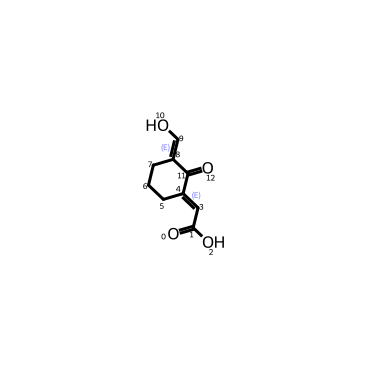 O=C(O)/C=C1\CCC/C(=C\O)C1=O